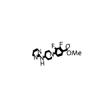 COC(=O)c1ccc(N2CCC(Nc3ncccn3)CC2)c(F)c1F